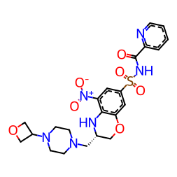 O=C(NS(=O)(=O)c1cc2c(c([N+](=O)[O-])c1)N[C@@H](CN1CCN(C3COC3)CC1)CO2)c1ccccn1